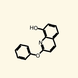 Oc1cccc2ccc(Oc3ccccc3)nc12